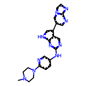 CN1CCN(c2ccc(Nc3ncc4c(-c5cnc6nccn6c5)c[nH]c4n3)cn2)CC1